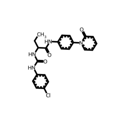 CCC(NC(=O)Nc1ccc(Cl)cc1)C(=O)Nc1ccc(-n2ccccc2=O)cc1